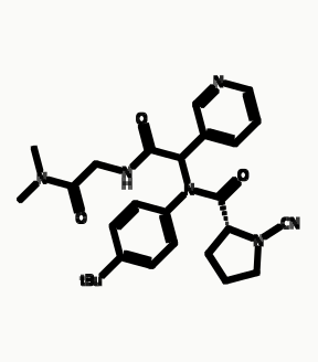 CN(C)C(=O)CNC(=O)C(c1cccnc1)N(C(=O)[C@H]1CCCN1C#N)c1ccc(C(C)(C)C)cc1